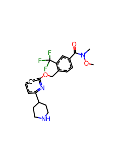 CON(C)C(=O)c1ccc(COc2cccc(C3CCNCC3)n2)c(C(F)(F)F)c1